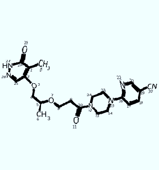 Cc1c(OC[C@H](C)OCCC(=O)N2CCN(c3ccc(C#N)cn3)CC2)cn[nH]c1=O